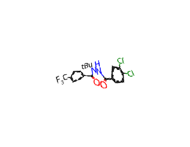 CC(C)(C)N(NC(=O)c1ccc(Cl)c(Cl)c1)C(=O)c1ccc(C(F)(F)F)cc1